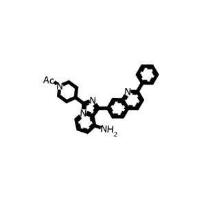 CC(=O)N1CCC(c2nc(-c3ccc4ccc(-c5ccccc5)nc4c3)c3c(N)cccn23)CC1